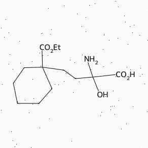 CCOC(=O)C1(CCC(N)(O)C(=O)O)CCCCC1